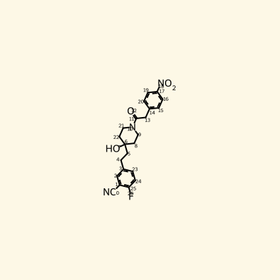 N#Cc1cc(CCC2(O)CCN(C(=O)Cc3ccc([N+](=O)[O-])cc3)CC2)ccc1F